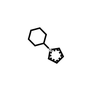 [c]1cccn1C1CCCCC1